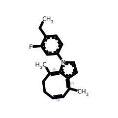 CCc1ccc(-n2ccc3/c2=C(/C)CC/C=C\C=3C)cc1F